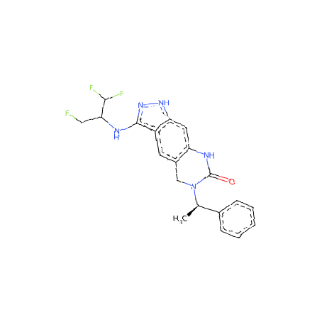 C[C@H](c1ccccc1)N1Cc2cc3c(NC(CF)C(F)F)n[nH]c3cc2NC1=O